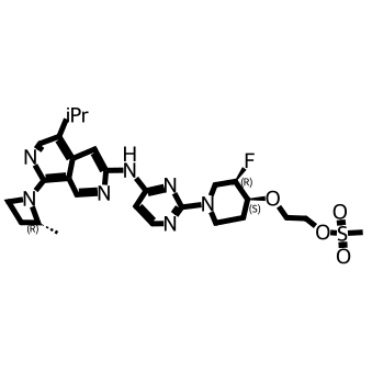 CC(C)c1cnc(N2CC[C@H]2C)c2cnc(Nc3ccnc(N4CC[C@H](OCCOS(C)(=O)=O)[C@H](F)C4)n3)cc12